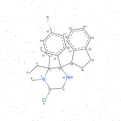 CCC1(CC)N(C)C(Cl)CNC1(c1ccc(F)cc1)C1CCc2ccccc21